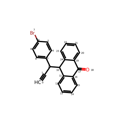 C#CC(c1ccc(Br)cc1)C1c2ccccc2C(=O)c2ccccc21